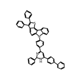 C1=C(c2ccc(-c3ccccc3)cc2)NC(c2ccccc2)N=C1c1ccc(-n2c3ccccc3c3c4sc(-c5ccccc5)c(-c5ccccc5)c4ccc32)cc1